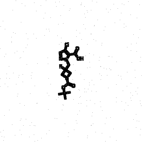 CC(C)(C)OC(=O)N1CC(F)(Cn2ncc(Cl)c2C(=O)O)C1